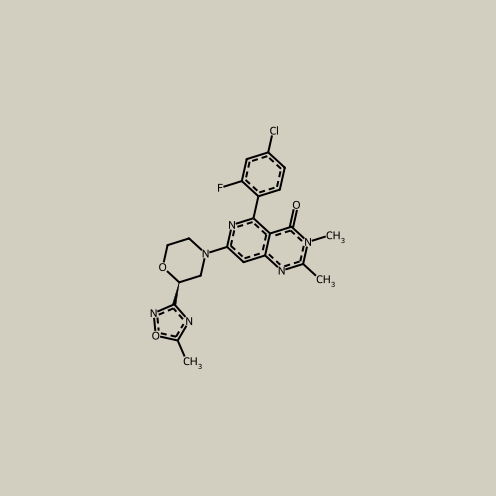 Cc1nc([C@@H]2CN(c3cc4nc(C)n(C)c(=O)c4c(-c4ccc(Cl)cc4F)n3)CCO2)no1